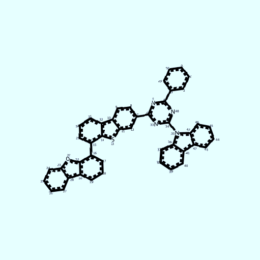 c1ccc(-c2nc(-c3ccc4c(c3)sc3c(-c5cccc6c5oc5ccccc56)cccc34)nc(-n3c4ccccc4c4ccccc43)n2)cc1